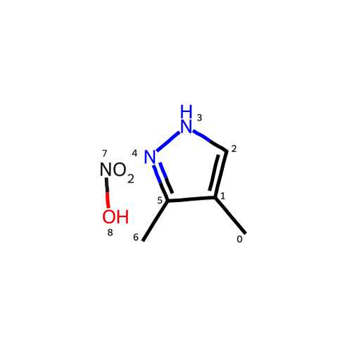 Cc1c[nH]nc1C.O=[N+]([O-])O